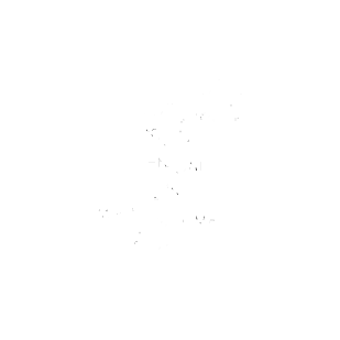 COc1cccc(OC)c1CNC(=N)Nc1cc(-c2ccccc2)ccn1